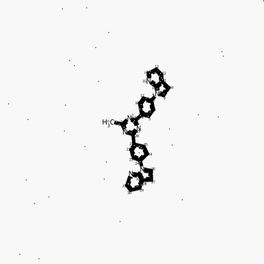 Cc1nc(-c2ccc(-n3ccc4cccnc43)cc2)nc(-c2ccc(-n3ccc4cccnc43)cc2)n1